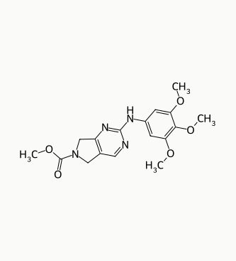 COC(=O)N1Cc2cnc(Nc3cc(OC)c(OC)c(OC)c3)nc2C1